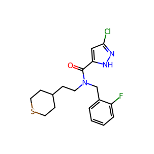 O=C(c1cc(Cl)n[nH]1)N(CCC1CCSCC1)Cc1ccccc1F